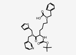 CC(C)(C)OC(=O)NC(CCCCN(Cc1ccccc1)C(=O)O)C(=O)N(Cc1cccnc1)Cc1cccs1